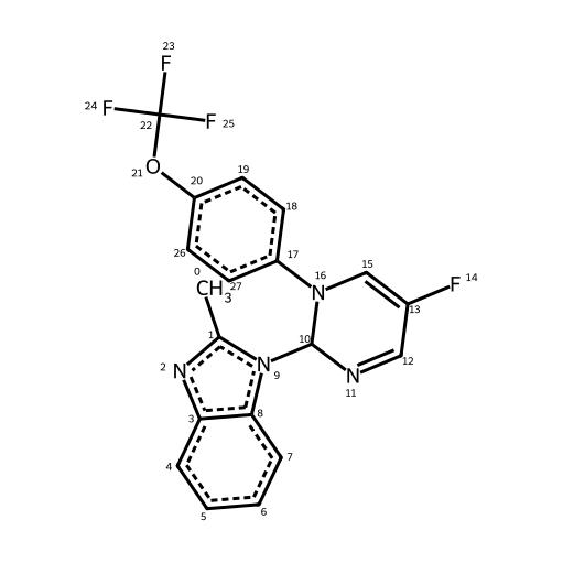 Cc1nc2ccccc2n1C1N=CC(F)=CN1c1ccc(OC(F)(F)F)cc1